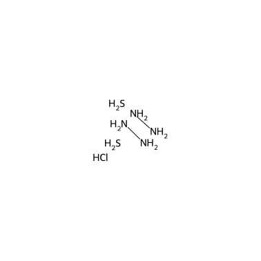 Cl.NN.NN.S.S